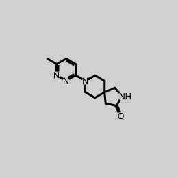 Cc1ccc(N2CCC3(CC2)CNC(=O)C3)nn1